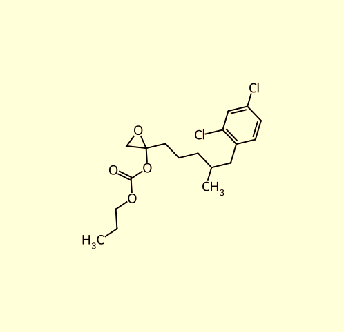 CCCOC(=O)OC1(CCCC(C)Cc2ccc(Cl)cc2Cl)CO1